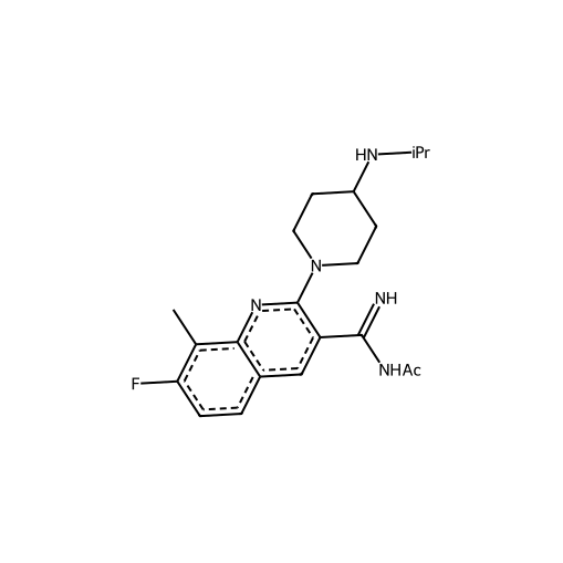 CC(=O)NC(=N)c1cc2ccc(F)c(C)c2nc1N1CCC(NC(C)C)CC1